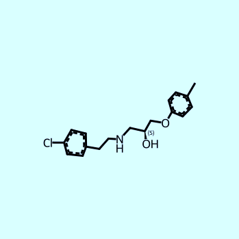 Cc1ccc(OC[C@@H](O)CNCCc2ccc(Cl)cc2)cc1